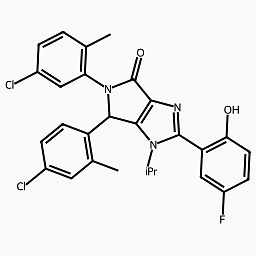 Cc1cc(Cl)ccc1C1c2c(nc(-c3cc(F)ccc3O)n2C(C)C)C(=O)N1c1cc(Cl)ccc1C